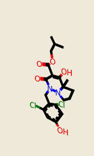 CC(C)COC(=O)C1=C(O)C2(C)CCCN2N(Cc2c(Cl)cc(O)cc2Cl)C1=O